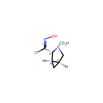 O=C(O)N1C[C@H]2C[C@H]2[C@@H]1/C(Cl)=N\O